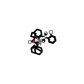 O=C(NC1CCCCC1)C12CC3CC(C1)C(NC(=O)C1(NCS(=O)(=O)c4ccccc4Cl)CCC1)C(C3)C2